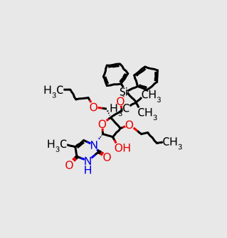 CCCCOC[C@@]1(CO[Si](c2ccccc2)(c2ccccc2)C(C)(C)C)O[C@@H](n2cc(C)c(=O)[nH]c2=O)C(O)C1OCCCC